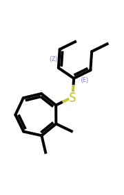 C/C=C\C(=C/CC)SC1=C=CC=CC(C)=C1C